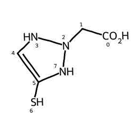 O=C(O)CN1NC=C(S)N1